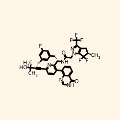 C[C@@H]1Cc2c(C(F)(F)F)nn(CC(=O)N[C@@H](Cc3cc(F)cc(F)c3)c3nc(C#CC(C)(C)O)ccc3-c3cccc4c(=O)[nH]cnc34)c2C1(F)F